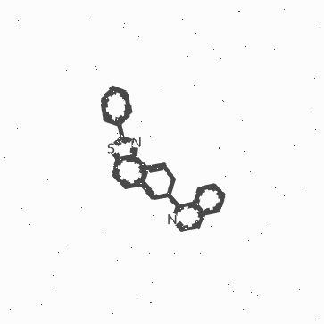 C1=c2ccc3sc(-c4ccccc4)nc3c2=CCC1c1nccc2ccccc12